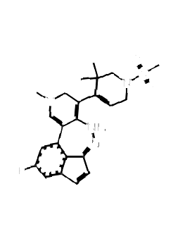 CN1C=C2C(=C(C3=CCN(S(C)(=O)=O)CC3(C)C)C1)NN=C1C=Cc3cc(F)cc2c31